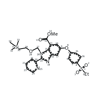 CCS(=O)(=O)c1ccc(Oc2cc(C(=O)OC)c3c(c2)nc(-c2ccccn2)n3COCC[Si](C)(C)C)cc1